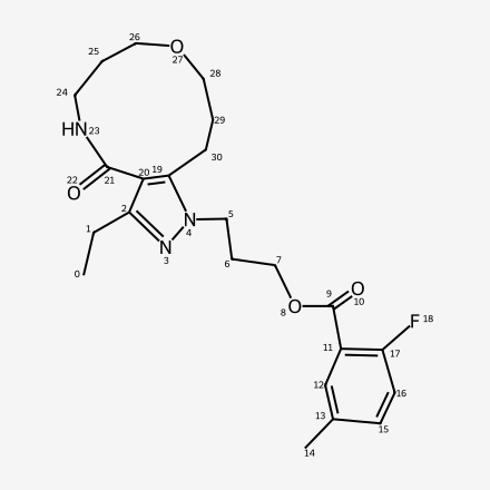 CCc1nn(CCCOC(=O)c2cc(C)ccc2F)c2c1C(=O)NCCCOCCC2